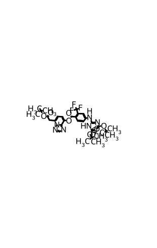 CC(C)(C)OC(=O)Cc1ccc(OC(=O)c2ccc(N/C(=N/C(=O)OC(C)(C)C)NC(=O)OC(C)(C)C)cc2C(F)(F)F)c2ncnn12